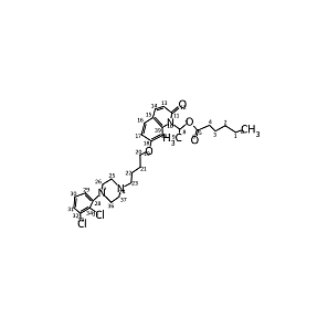 CCCCCC(=O)OC(C)n1c(=O)ccc2ccc(OCCCCN3CCN(c4cccc(Cl)c4Cl)CC3)cc21